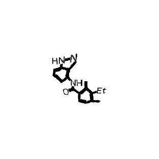 CCc1c(C)ccc(C(=O)Nc2cccc3[nH]ncc23)c1C